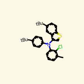 Cc1cccc(N(c2ccc(C(C)(C)C)cc2)c2csc3ccc(C(C)(C)C)cc23)c1Cl